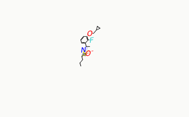 CCCC[S@+]([O-])/N=C(\C)c1cccc(OCC2CC2)c1F